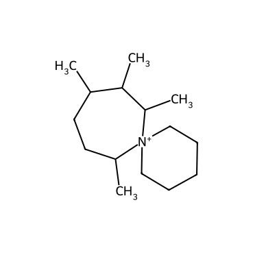 CC1CCC(C)[N+]2(CCCCC2)C(C)C1C